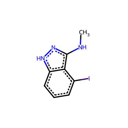 CNc1n[nH]c2cccc(I)c12